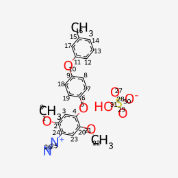 COc1cc(Oc2ccc(Oc3cccc(C)c3)cc2)c(OC)cc1[N+]#N.O=S(=O)([O-])O